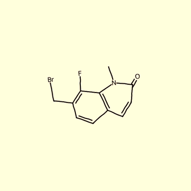 Cn1c(=O)ccc2ccc(CBr)c(F)c21